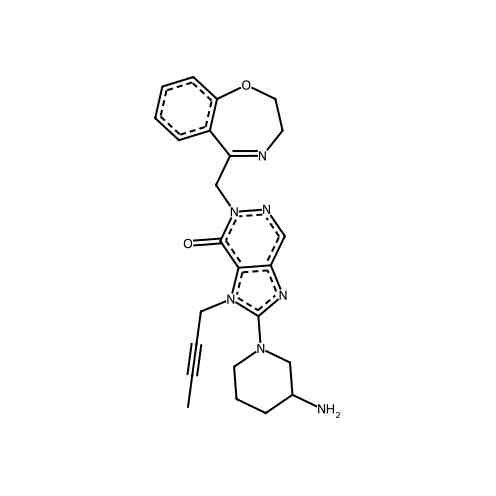 CC#CCn1c(N2CCCC(N)C2)nc2cnn(CC3=NCCOc4ccccc43)c(=O)c21